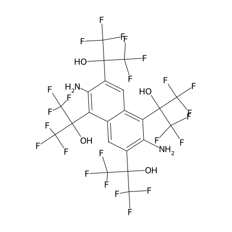 Nc1c(C(O)(C(F)(F)F)C(F)(F)F)cc2c(C(O)(C(F)(F)F)C(F)(F)F)c(N)c(C(O)(C(F)(F)F)C(F)(F)F)cc2c1C(O)(C(F)(F)F)C(F)(F)F